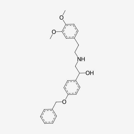 COc1ccc(CCNCC(O)c2ccc(OCc3ccccc3)cc2)cc1OC